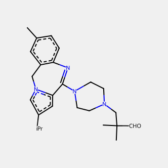 Cc1ccc2c(c1)Cn1cc(C(C)C)cc1C(N1CCN(CC(C)(C)C=O)CC1)=N2